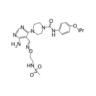 CC(C)Oc1ccc(NC(=O)N2CCN(c3ncnc(N)c3C=NOCCNS(C)(=O)=O)CC2)cc1